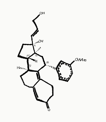 COc1cccc([C@H]2C[C@@]3(C)[C@@H](CC[C@@]3(O)C=CCO)[C@@H]3CCC4=CC(=O)CCC4=C32)c1